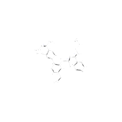 CCC/C=C(/N)c1ccc(-c2ccc(C=N)cc2O/C(C)=C/C(=N\CCC(C)C)c2ccccc2)cc1O